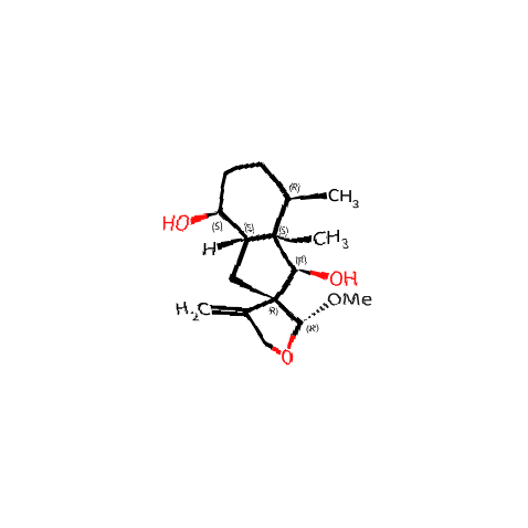 C=C1CO[C@@H](OC)[C@]12C[C@@H]1[C@@H](O)CC[C@@H](C)[C@]1(C)[C@H]2O